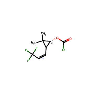 CC1(C)C(/C=C\C(F)(F)F)[C@H]1OC(=O)Cl